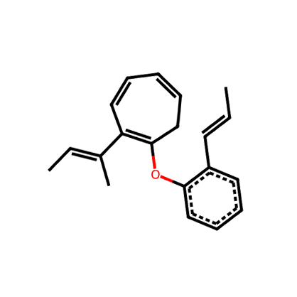 C/C=C/c1ccccc1OC1=C(/C(C)=C/C)C=CC=CC1